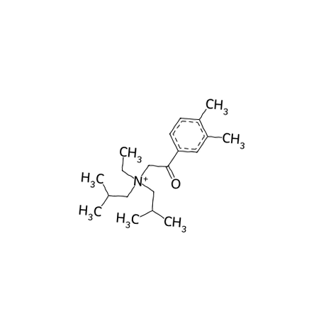 CC[N+](CC(=O)c1ccc(C)c(C)c1)(CC(C)C)CC(C)C